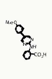 COc1ccc(-c2cnc(Nc3ccccc3C(=O)O)nc2)cc1